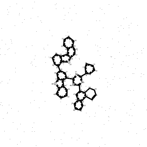 C1=Cc2c(c(-c3nc(-c4ccccc4)nc(-c4cc(-c5cccc6c5oc5ccc7ccccc7c56)cc5oc6ccccc6c45)n3)cc3ccccc23)CC1